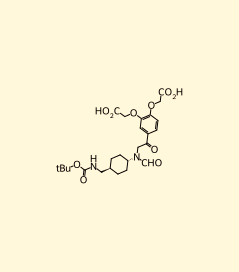 CC(C)(C)OC(=O)NC[C@H]1CC[C@H](N(C=O)CC(=O)c2ccc(OCC(=O)O)c(OCC(=O)O)c2)CC1